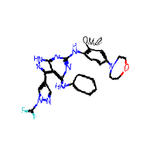 COc1cc(N2CCOCC2)ccc1Nc1nc(NC2CCCCC2)c2c(-c3cnn(C(F)F)c3)n[nH]c2n1